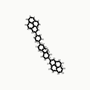 c1cc2ccc3cc(-c4ccc(-c5ccc6c(c5)sc5cc(-c7cc8ccc9cccc%10ccc(c7)c8c9%10)ccc56)cc4)cc4ccc(c1)c2c34